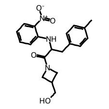 Cc1ccc(CC(Nc2ccccc2[N+](=O)[O-])C(=O)N2CC(CO)C2)cc1